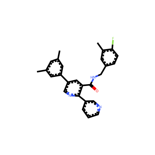 Cc1cc(C)cc(-c2cnc(-c3cccnc3)c(C(=O)NCc3ccc(F)c(C)c3)c2)c1